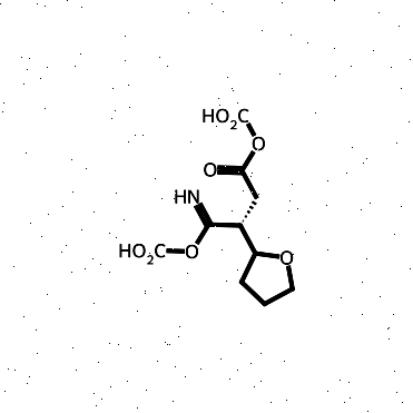 N=C(OC(=O)O)[C@H](CC(=O)OC(=O)O)C1CCCO1